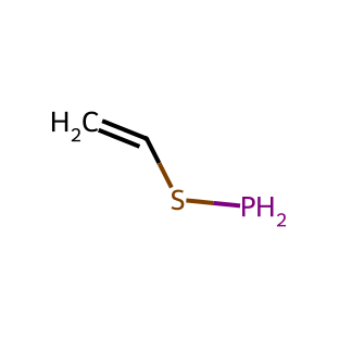 C=CSP